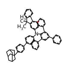 CC1(C)c2ccccc2-c2ccc(N(c3ccc(-c4ccc(C56CC7CC(CC(C7)C5)C6)cc4)cc3)c3c(-c4ccccc4)cc(-c4ccccc4)cc3-c3ccccc3)cc21